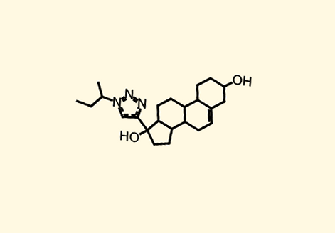 CCC(C)n1cc(C2(O)CCC3C4CC=C5CC(O)CCC5C4CCC32)nn1